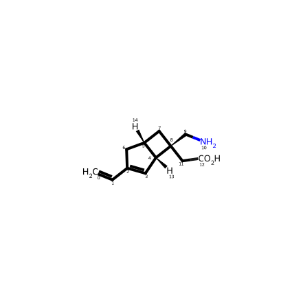 C=CC1=C[C@@H]2[C@H](C1)C[C@]2(CN)CC(=O)O